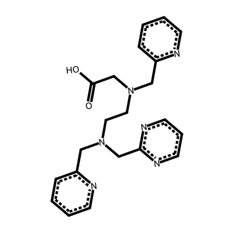 O=C(O)CN(CCN(Cc1ccccn1)Cc1ncccn1)Cc1ccccn1